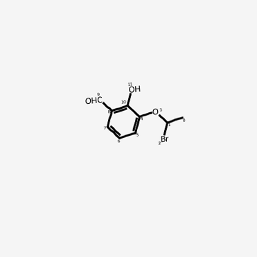 CC(Br)Oc1cccc(C=O)c1O